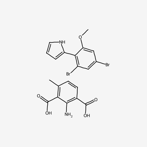 COc1cc(Br)cc(Br)c1-c1ccc[nH]1.Cc1ccc(C(=O)O)c(N)c1C(=O)O